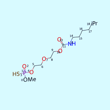 COP(=O)(S)OCCOCCOC(=O)NCCCCC(C)C